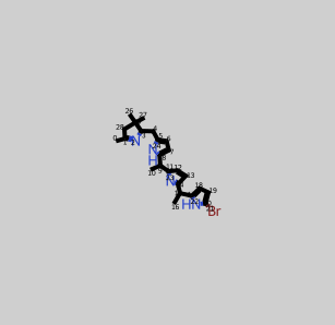 CC1=NC(Cc2ccc(C(C)C3C=CC(C(C)c4ccc(Br)[nH]4)=N3)[nH]2)C(C)(C)C1